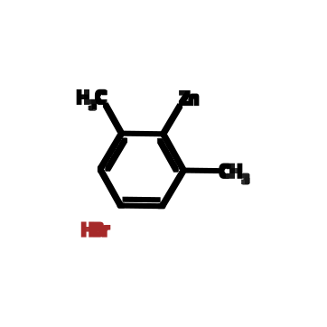 Br.Cc1cccc(C)[c]1[Zn]